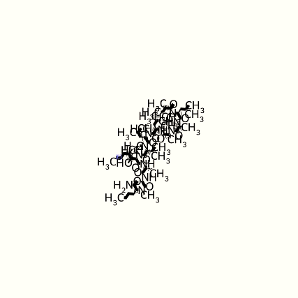 C/C=C/C[C@@H](C)[C@H](O)C(C(=O)N[C@H](CC)C(=O)NCC(=O)N(C)[C@@H](CCCC)C(N)=O)N(C)C(=O)[C@H](C(C)C)N(C)C(=O)[C@@H](CC(C)C)N(C)C(=O)[C@@H](CC(C)C)N(C)C(=O)[C@H](C)NC(=O)[C@@H](C)NC(=O)[C@H](CC(C)C)N(C)C(=O)[C@H](C)C(C)C